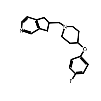 Fc1ccc(OC2CCN(CC3Cc4ccncc4C3)CC2)cc1